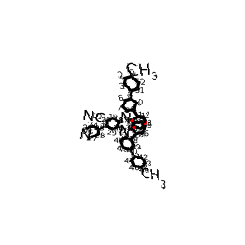 Cc1ccc(-c2ccc3c(c2)c2ccccc2n3-c2cc(C#N)c(-c3ccncc3)cc2-n2c3ccccc3c3cc(-c4ccc(C)cc4)ccc32)cc1